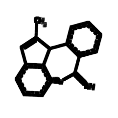 CC1=Cc2ccccc2C1c1ccccc1C(=N)C(C)(C)C